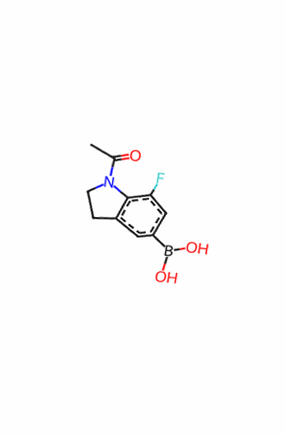 CC(=O)N1CCc2cc(B(O)O)cc(F)c21